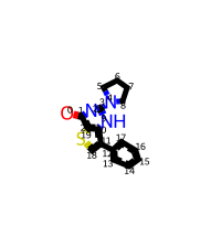 O=c1nc(N2CCCC2)[nH]c2c(-c3ccccc3)csc12